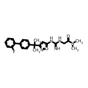 CN(C)C(=O)CNC(=N)Nc1cc(C(C)(C)c2ccc(-c3ccccc3F)cc2)no1